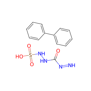 N=NC(=O)NNS(=O)(=O)O.c1ccc(-c2ccccc2)cc1